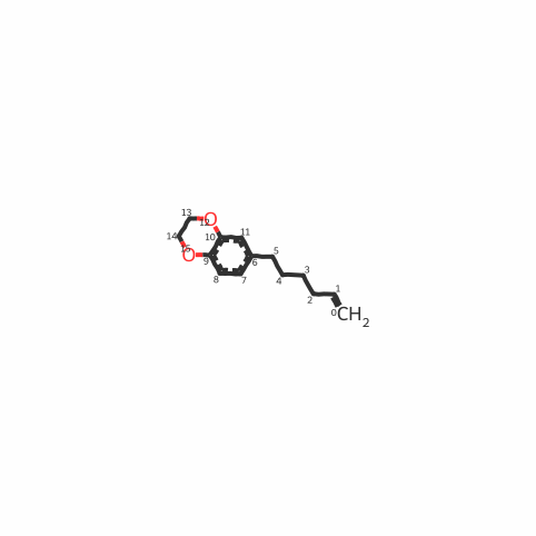 C=CCCCCc1ccc2c(c1)OCCO2